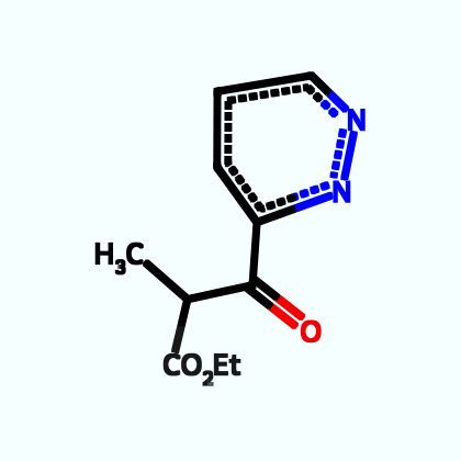 CCOC(=O)C(C)C(=O)c1cccnn1